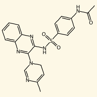 CC(=O)Nc1ccc(S(=O)(=O)Nc2nc3ccccc3nc2N2C=NC(C)=CC2)cc1